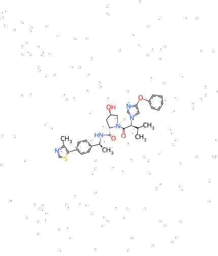 Cc1ncsc1-c1ccc([C@H](C)NC(=O)[C@@H]2C[C@@H](O)CN2C(=O)[C@H](C(C)C)n2cnc(Oc3ccccc3)c2)cc1